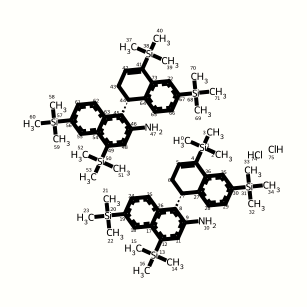 C[Si](C)(C)C1=CC[C@@H](c2c(N)cc([Si](C)(C)C)c3cc([Si](C)(C)C)ccc23)c2ccc([Si](C)(C)C)cc21.C[Si](C)(C)C1=CC[C@@H](c2c(N)cc([Si](C)(C)C)c3cc([Si](C)(C)C)ccc23)c2ccc([Si](C)(C)C)cc21.Cl.Cl